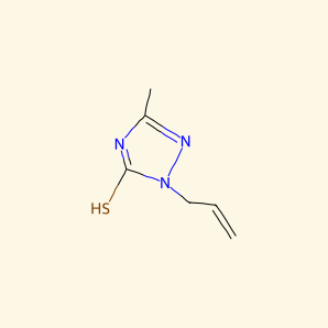 C=CCn1nc(C)nc1S